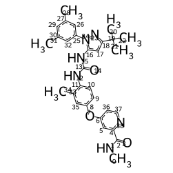 CNC(=O)c1cc(Oc2ccc(NC(=O)Nc3cc(C(C)(C)C)nn3-c3cc(C)cc(C)c3)c(C)c2)ccn1